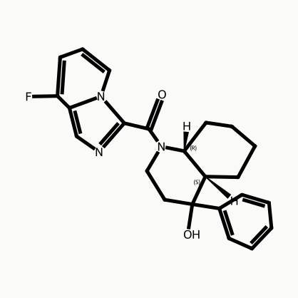 O=C(c1ncc2c(F)cccn12)N1CCC(O)(c2ccccc2)[C@H]2CCCC[C@H]21